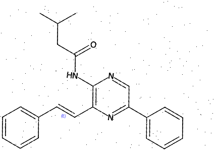 CC(C)CC(=O)Nc1ncc(-c2ccccc2)nc1/C=C/c1ccccc1